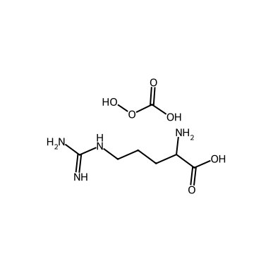 N=C(N)NCCCC(N)C(=O)O.O=C(O)OO